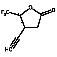 C#CC1CC(=O)OC1C(F)(F)F